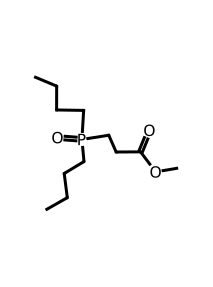 CCCCP(=O)(CCCC)CCC(=O)OC